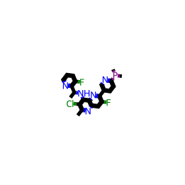 Cc1nc2cc(F)c(-c3ccc(P(C)C)nc3)nc2c(NC(C)c2ncccc2F)c1Cl